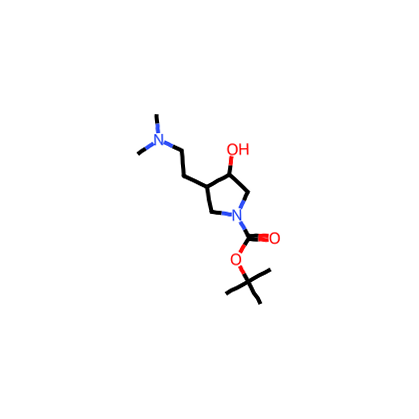 CN(C)CCC1CN(C(=O)OC(C)(C)C)CC1O